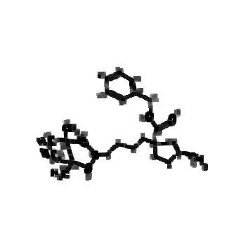 C[C@H]1CCC(CCCCB2OC(C)(C)C(C)(C)O2)(C(=O)OCc2ccccc2)C1